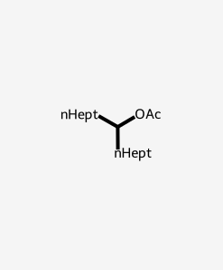 CCCCCCCC(CCCCCCC)OC(C)=O